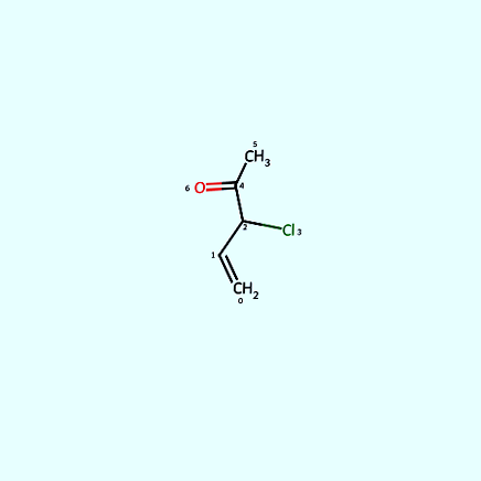 C=CC(Cl)C(C)=O